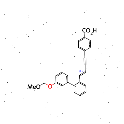 COCOc1cccc(-c2ccccc2/C=C/C#Cc2ccc(C(=O)O)cc2)c1